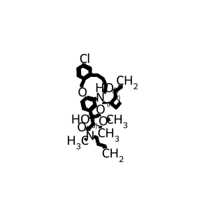 C=CCCN(C)C(=O)[C@@H](CC)[C@](O)(C(=O)OC)c1ccc2c(c1)N(C[C@@H]1CC[C@H]1[C@@H](O)C=C)CCCCc1cc(Cl)ccc1CO2